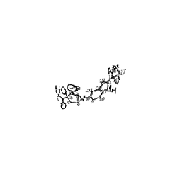 CC(=O)[C@@]1(O)CCN(c2ccc3[nH]c(-c4nnco4)cc3c2)C1=O